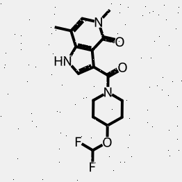 Cc1cn(C)c(=O)c2c(C(=O)N3CCC(OC(F)F)CC3)c[nH]c12